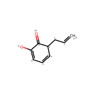 C=CCC1C=CC=C([O])C1=O